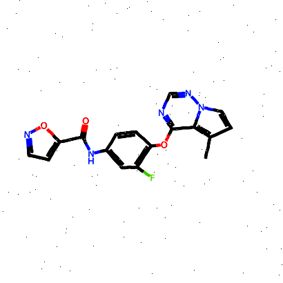 Cc1ccn2ncnc(Oc3ccc(NC(=O)c4ccno4)cc3F)c12